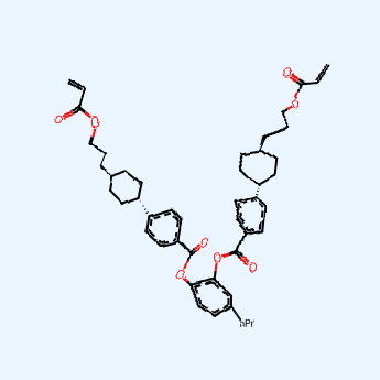 C=CC(=O)OCCC[C@H]1CC[C@H](c2ccc(C(=O)Oc3ccc(CCC)cc3OC(=O)c3ccc([C@H]4CC[C@H](CCCOC(=O)C=C)CC4)cc3)cc2)CC1